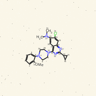 COc1ccccc1N1CCN(c2nc(C3CC3)nc3cc(Cl)c(N(C)C)cc23)CC1